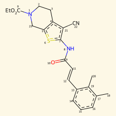 CCOC(=O)N1CCc2c(sc(NC(=O)C=Cc3cccc(C)c3C)c2C#N)C1